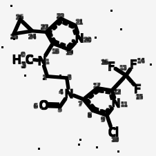 CN(CCN(C=O)c1cc(Cl)nc(C(F)(F)F)c1)c1cnccc1C1CC1